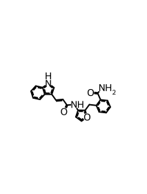 NC(=O)c1ccccc1Cc1occc1NC(=O)C=Cc1c[nH]c2ccccc12